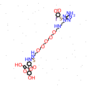 Nc1ncnc2c1nc(Sc1cc3c(cc1I)OCO3)n2CCCNCCCOCCOCCOCCOCCOCCCNC(=S)Nc1ccc2c(c1)C(=O)OC21c2ccc(O)cc2Oc2cc(O)ccc21